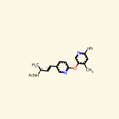 CCCc1cc(C)c(Oc2ccc(/C=C/[C@H](C)NC(C)=O)cn2)cn1